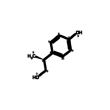 C[C@@H](CO)c1ccc(O)cc1